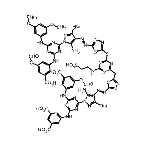 CC(C)(C)c1nn(-c2nc(Nc3cc(OC=O)cc(OC=O)c3)nc(Nc3cc(OC=O)cc(C(=O)O)c3)n2)c(N)c1N=Nc1nnc(Sc2nc(NCCS(=O)(=O)O)nc(Sc3nnc(N=Nc4c(C(C)(C)C)nn(-c5nc(Nc6cc(OC=O)cc(C(=O)O)c6)nc(Nc6cc(C(=O)O)cc(C(=O)O)c6)n5)c4N)s3)n2)s1